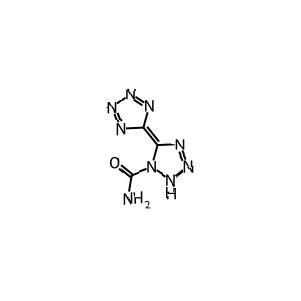 NC(=O)N1NN=NC1=C1N=NN=N1